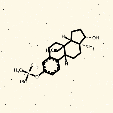 C=CC12CCc3cc(O[Si](C)(C)C(C)(C)C)ccc3[C@H]1CC[C@]1(C)[C@@H](O)CC[C@@H]21